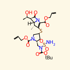 C=CCOC(=O)C1=C(S[C@H]2C[C@@H](CN(C(=O)OC(C)(C)C)S(N)(=O)=O)N(C(=O)OCC=C)C2)[C@H](C)[C@@H]2[C@@H]([C@@H](C)O)C(=O)N12